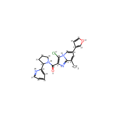 O=C(c1nc2c(C(F)(F)F)cc(-c3ccoc3)cn2c1Cl)N1CCCC1c1ccccn1